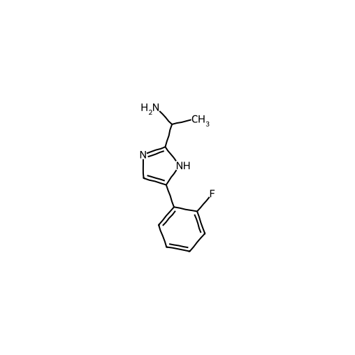 CC(N)c1ncc(-c2ccccc2F)[nH]1